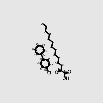 CCCCCCCCCCCCC(=O)C(=O)O.Clc1ccc(-c2ccccc2)cc1